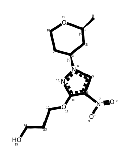 C[C@H]1C[C@@H](n2cc([N+](=O)[O-])c(OCCCO)n2)CCO1